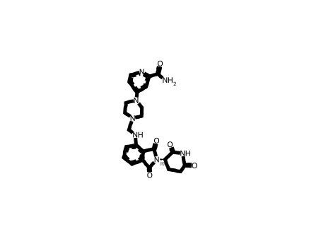 NC(=O)c1cc(N2CCN(CNc3cccc4c3C(=O)N([C@H]3CCC(=O)NC3=O)C4=O)CC2)ccn1